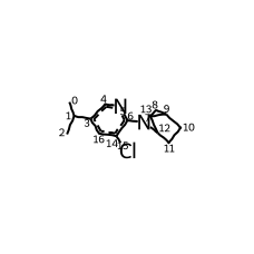 CC(C)c1cnc(N2CC3CCC2C3)c(Cl)c1